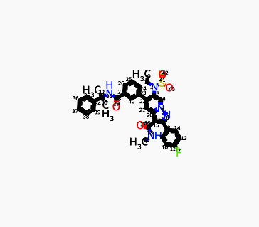 CCN(c1cn2nc(-c3ccc(F)cc3)c(C(=O)NC)c2cc1-c1cccc(C(=O)NC(C)(C)c2ccccc2)c1)[SH](=O)=O